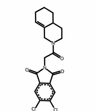 O=C(CN1C(=O)c2cc(Cl)c(Cl)cc2C1=O)N1CCC2CCCC=C2C1